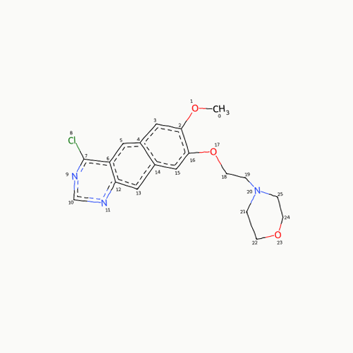 COc1cc2cc3c(Cl)ncnc3cc2cc1OCCN1CCOCC1